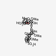 COCc1cc(-c2cc(COC)c(OS(=O)(=O)C(F)(F)C(F)(F)C(F)(F)S(=O)(=O)O)c(COC)c2)cc(COCCOCc2c(O)c(COC)c(COC)c(OS(=O)(=O)C(F)(F)C(F)(F)C(F)(F)S(=O)(=O)O)c2COC)c1O